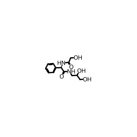 O=C(CO)N[C@@H](C(=O)NCC(O)CO)c1ccccc1